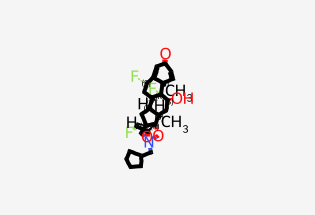 C[C@]12C=CC(=O)C=C1[C@@H](F)C[C@H]1[C@@H]3C[C@H]4CN(CC5CCCC5)O[C@@]4(C(=O)CF)[C@@]3(C)C[C@H](O)[C@@]12F